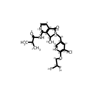 CC(C)C(=O)Nc1nccc2c1C(C)N(Cc1cnc(OCC(F)F)c(Cl)c1)C2=O